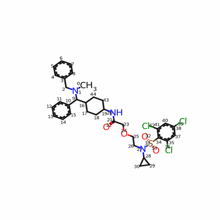 CN(Cc1ccccc1)C(c1ccccc1)C1CCC(NC(=O)COCCN(C2CC2)S(=O)(=O)c2c(Cl)cc(Cl)cc2Cl)CC1